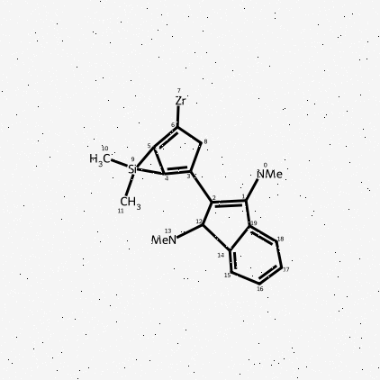 CNC1=C(C2=C3C(=[C]([Zr])C2)[Si]3(C)C)C(NC)c2ccccc21